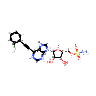 NS(=O)(=O)OC[C@H]1O[C@@H](n2cnc3c(C#Cc4ccccc4Cl)ncnc32)[C@H](O)[C@@H]1O